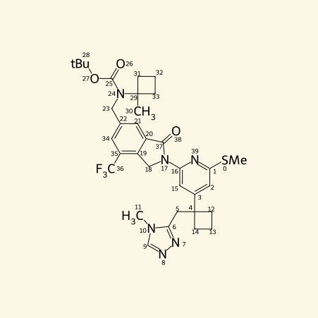 CSc1cc(C2(Cc3nncn3C)CCC2)cc(N2Cc3c(cc(CN(C(=O)OC(C)(C)C)C4(C)CCC4)cc3C(F)(F)F)C2=O)n1